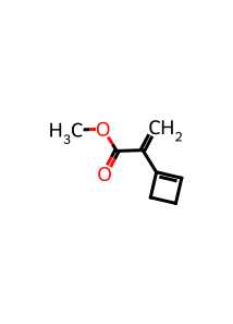 C=C(C(=O)OC)C1=CCC1